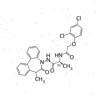 CC1C(=O)N(NC(=O)[C@H](C)NC(=O)COc2ccc(Cl)cc2Cl)c2ccccc2-c2ccccc21